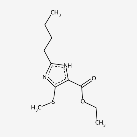 CCCCc1nc(SC)c(C(=O)OCC)[nH]1